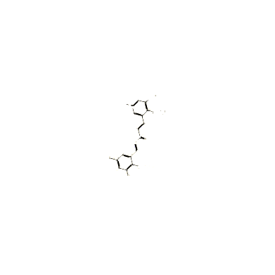 CCc1cc(Cl)c(OC)c(/C=C/C(=O)/C=C/c2cc(Cl)cc(CC)c2OC)c1